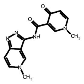 Cn1ccc2nnc(NC(=O)c3cn(C)ccc3=O)c-2c1